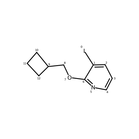 Ic1cccnc1OCC1CCC1